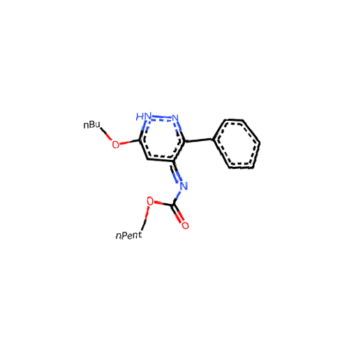 CCCCCOC(=O)N=c1cc(OCCCC)[nH]nc1-c1ccccc1